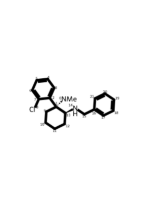 CN[C@@]1(c2ccccc2Cl)CCCC[C@@H]1NCc1ccccc1